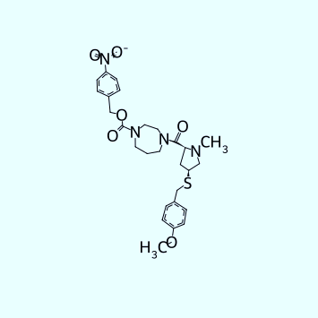 COc1ccc(CS[C@H]2C[C@@H](C(=O)N3CCCN(C(=O)OCc4ccc([N+](=O)[O-])cc4)CC3)N(C)C2)cc1